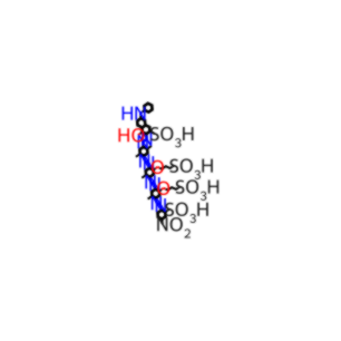 Cc1cc(N=Nc2c(S(=O)(=O)O)cc3cc(Nc4ccccc4)ccc3c2O)c(C)cc1N=Nc1cc(C)c(N=Nc2cc(C)c(N=Nc3ccc([N+](=O)[O-])cc3S(=O)(=O)O)cc2OCCCS(=O)(=O)O)cc1OCCCS(=O)(=O)O